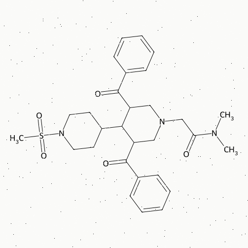 CN(C)C(=O)CN1CC(C(=O)c2ccccc2)C(C2CCN(S(C)(=O)=O)CC2)C(C(=O)c2ccccc2)C1